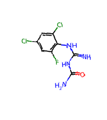 N=C(NC(N)=O)Nc1c(F)cc(Cl)cc1Cl